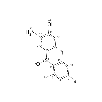 Cc1cc(C)c([S+]([O-])c2ccc(O)c(N)c2)c(C)c1